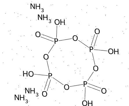 N.N.N.N.O=P1(O)OP(=O)(O)OP(=O)(O)OP(=O)(O)O1